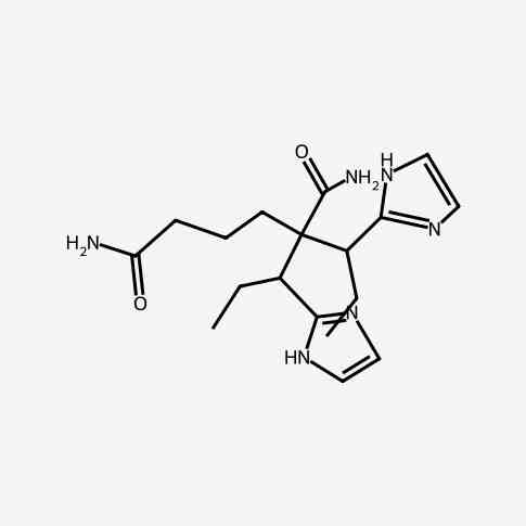 CCC(c1ncc[nH]1)C(CCCC(N)=O)(C(N)=O)C(CC)c1ncc[nH]1